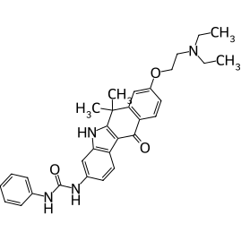 CCN(CC)CCOc1ccc2c(c1)C(C)(C)c1[nH]c3cc(NC(=O)Nc4ccccc4)ccc3c1C2=O